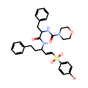 O=C(NC(C=CS(=O)(=O)c1ccc(Br)cc1)CCc1ccccc1)C(Cc1ccccc1)NC(=O)N1CCOCC1